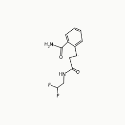 NC(=O)c1ccccc1[CH]CC(=O)NCC(F)F